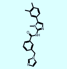 Cc1ccc(-c2cnc(NC(=O)c3cccc(Cn4ccnc4)c3)n2C)cc1C